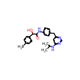 Bc1ccc(C(O)C(=O)Nc2ccc(Cc3cc(NC(=C)C)ncn3)cc2)cc1